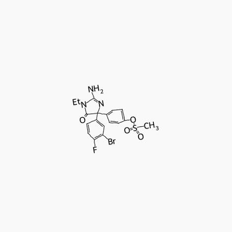 CCN1C(=O)C(c2ccc(OS(C)(=O)=O)cc2)(c2ccc(F)c(Br)c2)N=C1N